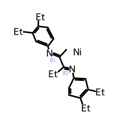 CCC(=N\c1ccc(CC)c(CC)c1)/C(C)=N/c1ccc(CC)c(CC)c1.[Ni]